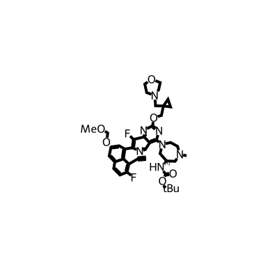 C#Cc1c(F)ccc2cc(OCOC)cc(-c3ncc4c(N5CCN(C)C[C@@H](NC(=O)OC(C)(C)C)C5)nc(OCC5(CN6CCOCC6)CC5)nc4c3F)c12